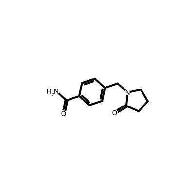 NC(=O)c1ccc(CN2CCCC2=O)cc1